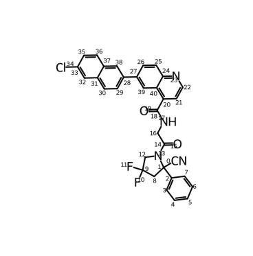 N#CC1(c2ccccc2)CC(F)(F)CN1C(=O)CNC(=O)c1ccnc2ccc(-c3ccc4cc(Cl)ccc4c3)cc12